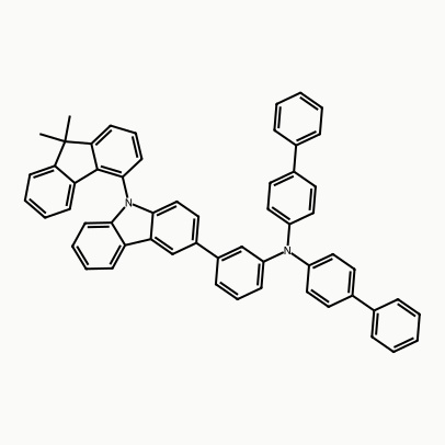 CC1(C)c2ccccc2-c2c(-n3c4ccccc4c4cc(-c5cccc(N(c6ccc(-c7ccccc7)cc6)c6ccc(-c7ccccc7)cc6)c5)ccc43)cccc21